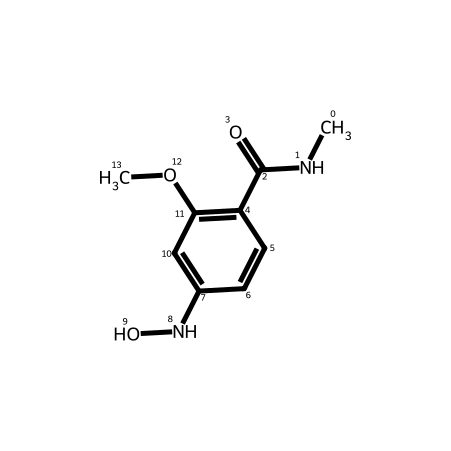 CNC(=O)c1ccc(NO)cc1OC